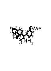 COc1cccc(-c2c(N)c(=O)[nH]c3c2ccc2ccccc23)c1